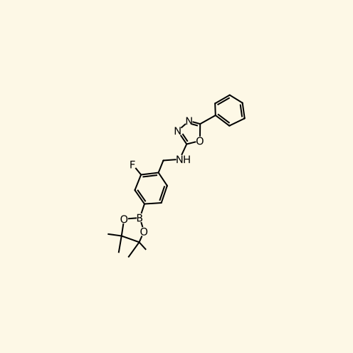 CC1(C)OB(c2ccc(CNc3nnc(-c4ccccc4)o3)c(F)c2)OC1(C)C